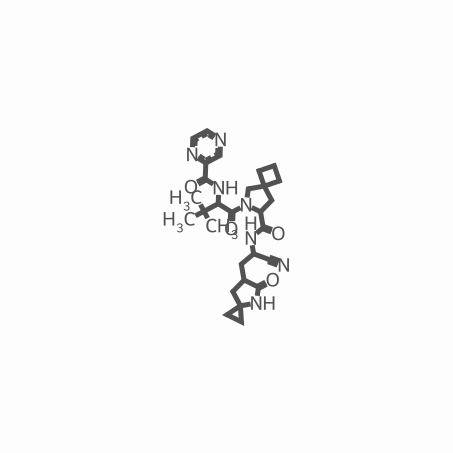 CC(C)(C)C(NC(=O)c1cnccn1)C(=O)N1CC2(CCC2)CC1C(=O)NC(C#N)CC1CC2(CC2)NC1=O